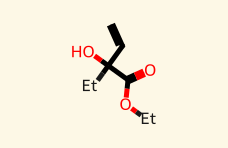 C=CC(O)(CC)C(=O)OCC